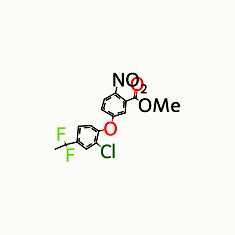 COC(=O)c1cc(Oc2ccc(C(C)(F)F)cc2Cl)ccc1[N+](=O)[O-]